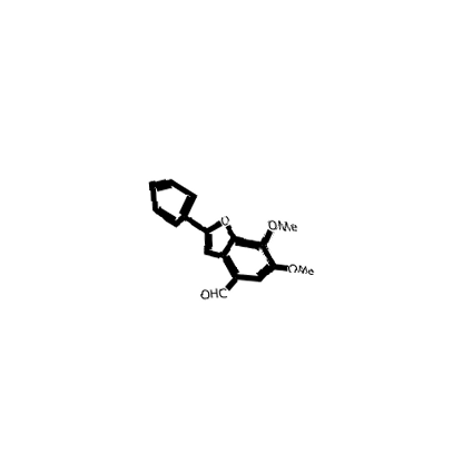 COc1cc(C=O)c2cc(-c3ccccc3)oc2c1OC